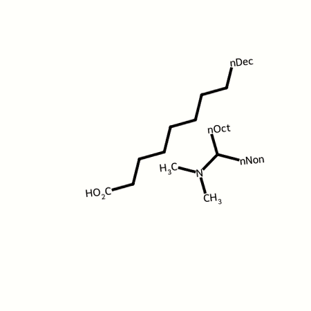 CCCCCCCCCC(CCCCCCCC)N(C)C.CCCCCCCCCCCCCCCCCC(=O)O